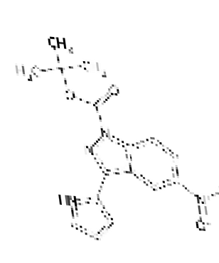 CC(C)(C)OC(=O)n1nc(-c2ccc[nH]2)c2cc([NH+]([O-])O)ccc21